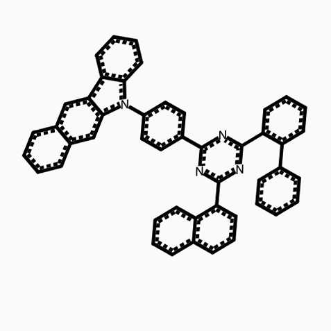 c1ccc(-c2ccccc2-c2nc(-c3ccc(-n4c5ccccc5c5cc6ccccc6cc54)cc3)nc(-c3cccc4ccccc34)n2)cc1